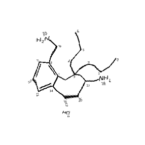 CCCC1(CCC)c2c(CN)cccc2CCC1N.Cl